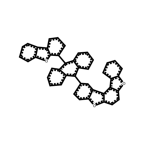 c1ccc2c(c1)oc1c(-c3c4ccccc4c(-c4ccc5oc6ccc7oc8ccccc8c7c6c5c4)c4ccccc34)cccc12